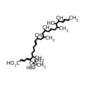 C=CC=CC(C)C(O)C(C)CCCC(C)CC(C)CC(C)C=CCCCC(C)C(=CC=CC(=O)O)O[Si](C)(C)CCCC